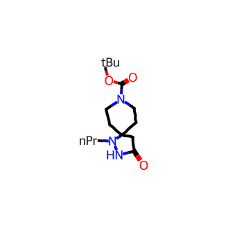 CCCN1NC(=O)CC12CCN(C(=O)OC(C)(C)C)CC2